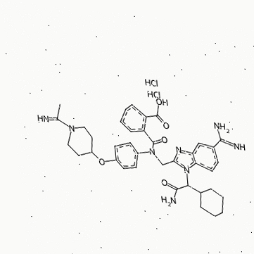 CC(=N)N1CCC(Oc2ccc(N(Cc3nc4cc(C(=N)N)ccc4n3C(C(N)=O)C3CCCCC3)C(=O)c3ccccc3C(=O)O)cc2)CC1.Cl.Cl